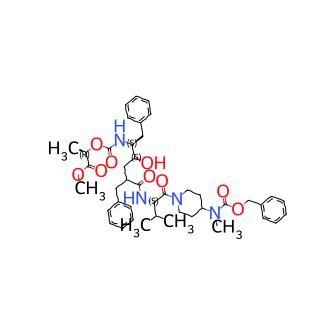 COC(=O)[C@@H](C)OC(=O)N[C@@H](Cc1ccccc1)[C@@H](O)CC(Cc1ccccc1)C(=O)N[C@H](C(=O)N1CCC(N(C)C(=O)OCc2ccccc2)CC1)C(C)C